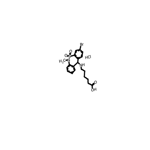 CN1c2ccccc2C(NCCCCCC(=O)O)c2ccc(Br)cc2S1(=O)=O.Cl